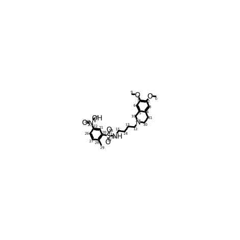 COc1cc2c(cc1OC)CN(CCCCNS(=O)(=O)c1cc([N+](=O)O)ccc1C)CC2